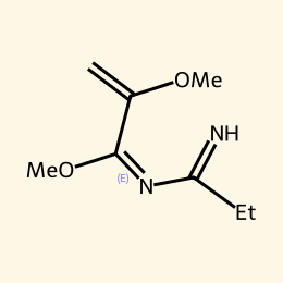 C=C(OC)/C(=N\C(=N)CC)OC